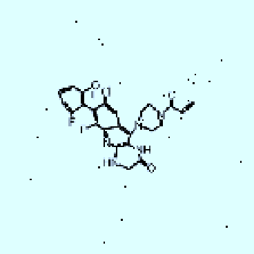 C=CC(=O)N1CCN(c2c3c(nc4c(F)c(-c5c(O)cccc5F)c(Cl)cc24)NCC(=O)N3)CC1